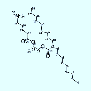 CCCCCCCCCC(CCCCCCCCC)C(=O)OC[C@H](C)OC(=O)CCCCN(C)C